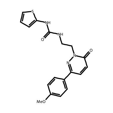 COc1ccc(-c2ccc(=O)n(CCNC(=O)Nc3cccs3)n2)cc1